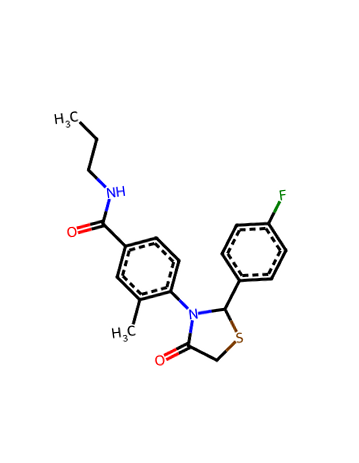 CCCNC(=O)c1ccc(N2C(=O)CSC2c2ccc(F)cc2)c(C)c1